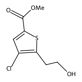 COC(=O)c1cc(Cl)c(CCO)s1